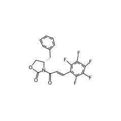 O=C(/C=C/c1c(F)c(F)c(F)c(F)c1F)N1C(=O)OC[C@@H]1Cc1ccccc1